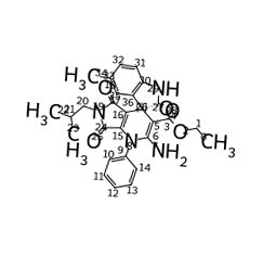 CCOC(=O)C1=C(N)N(c2ccccc2)C2=C(C(=O)N(CC(C)C)C2=O)[C@]12C(=O)Nc1ccc(C)cc12